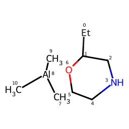 CCC1CNCCO1.[CH3][Al]([CH3])[CH3]